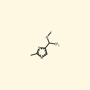 Cc1ncc(C(OI)C(F)(F)F)s1